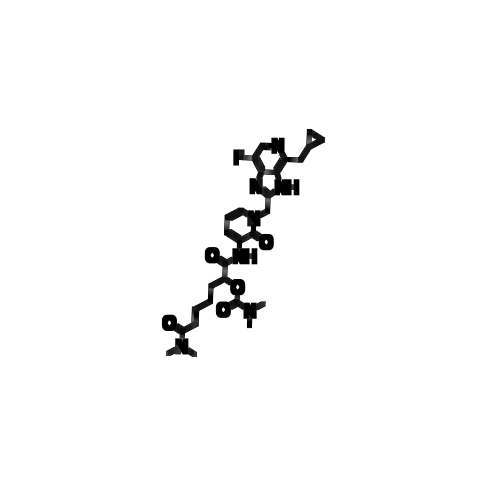 CN(C)C(=O)C=CCCC(OC(=O)N(C)C)C(=O)Nc1cccn(Cc2nc3c(F)cnc(CC4CC4)c3[nH]2)c1=O